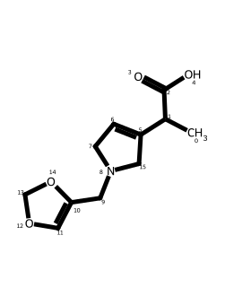 CC(C(=O)O)C1=CCN(CC2=COCO2)C1